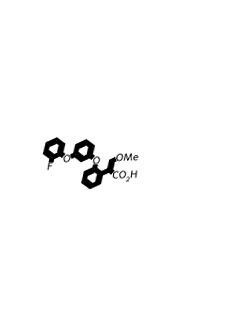 COC=C(C(=O)O)c1ccccc1Oc1cccc(Oc2ccccc2F)c1